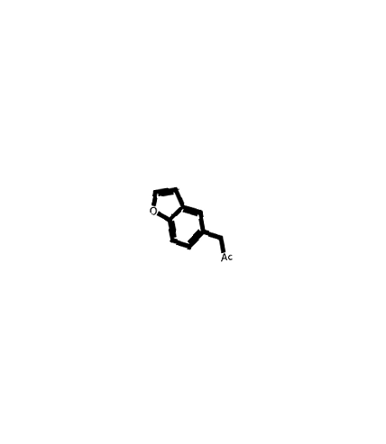 CC(=O)Cc1ccc2oc[c]c2c1